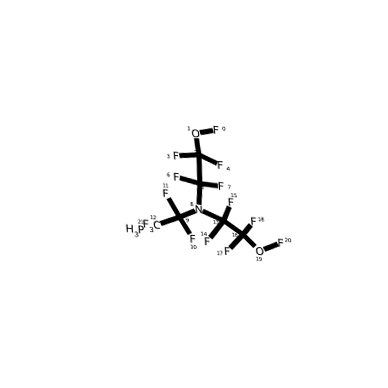 FOC(F)(F)C(F)(F)N(C(F)(F)C(F)(F)F)C(F)(F)C(F)(F)OF.P